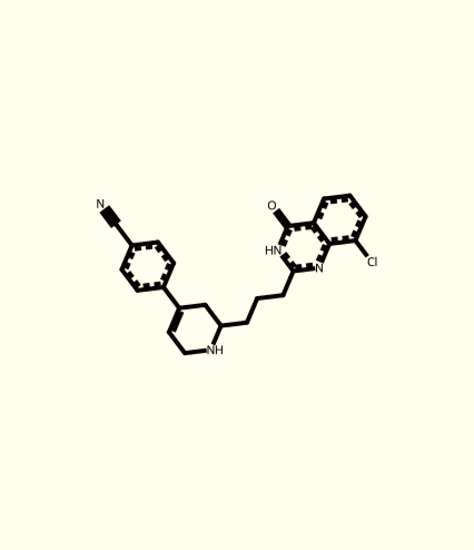 N#Cc1ccc(C2=CCNC(CCCc3nc4c(Cl)cccc4c(=O)[nH]3)C2)cc1